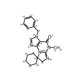 CN1C(=O)c2c(ncn2Cc2ccccc2)N2C1=NCC21CCCCC1